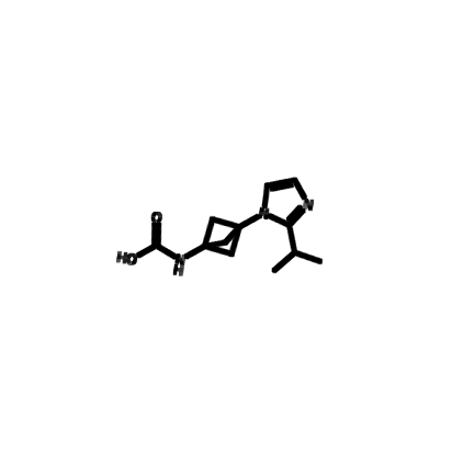 CC(C)c1nccn1C12CC(NC(=O)O)(C1)C2